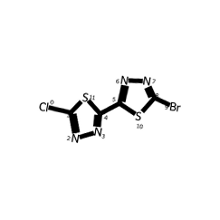 Clc1nnc(-c2nnc(Br)s2)s1